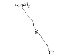 CCCCCCCCC=CCCCCCCCCCCCCCC(=O)OCCCCCCCCCCCCCCCCCCCCCCCCCCCCCC(C)CC